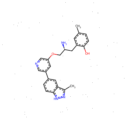 Cc1ccc(O)c(C[C@H](N)COc2cncc(-c3ccc4[nH]nc(C)c4c3)c2)c1